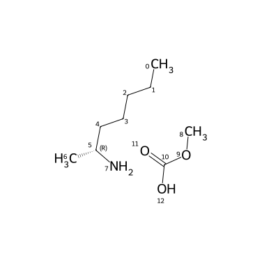 CCCCC[C@@H](C)N.COC(=O)O